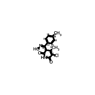 CC1=C(Cl)C(=O)NC(=O)C1/C(=N\O)c1ccc(C)cc1